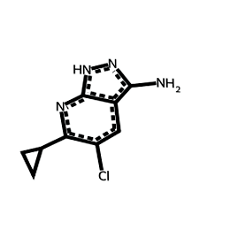 Nc1n[nH]c2nc(C3CC3)c(Cl)cc12